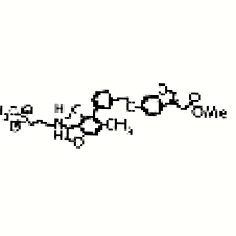 COC(=O)C[C@@H]1COc2cc(OCc3cccc(-c4c(C)cc5c(c4C)C(NCCCS(C)(=O)=O)CO5)c3)ccc21